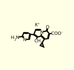 Cc1c(-c2ccc(N)nc2)ccn2c(=O)c(C(=O)[O-])cc(C3CC3)c12.[K+]